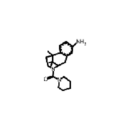 CC12CCN(C(=O)N3CCCCC3)C(Cc3cc(N)ccc31)C2(C)C